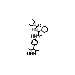 CCN(CC)C(=O)N[C@H](C(=O)Nc1ccc(-c2c(C)n[nH]c2C)cc1)C1CCCCC1